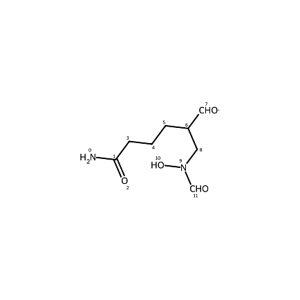 NC(=O)CCCC([C]=O)CN(O)C=O